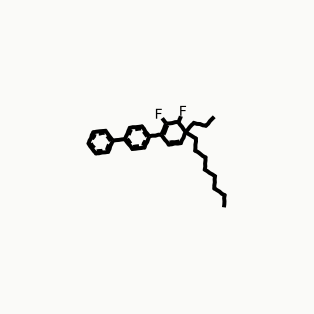 CCCCCCCCC1(CCC)C=CC(c2ccc(-c3ccccc3)cc2)=C(F)C1F